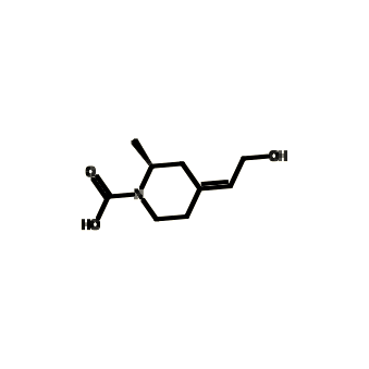 C[C@H]1C/C(=C\CO)CCN1C(=O)O